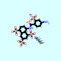 Nc1ccc(C(=O)Nc2ccc(S(=O)(=O)[O-])c3cc(S(=O)(=O)[O-])cc(S(=O)(=O)[O-])c23)c(S(=O)(=O)[O-])c1.[Na+].[Na+].[Na+].[Na+]